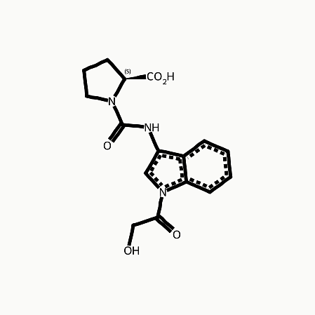 O=C(O)[C@@H]1CCCN1C(=O)Nc1cn(C(=O)CO)c2ccccc12